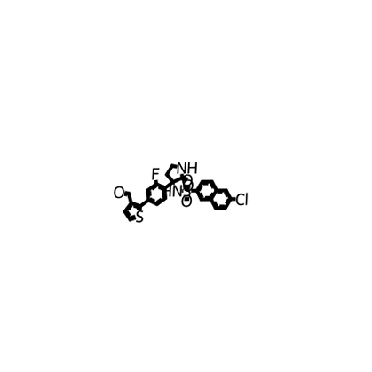 O=Cc1ccsc1-c1ccc([C@@]2(NS(=O)(=O)c3ccc4cc(Cl)ccc4c3)CCNC2=O)c(F)c1